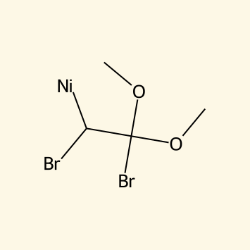 COC(Br)(OC)[CH]([Ni])Br